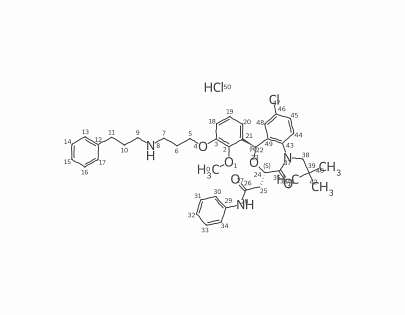 COc1c(OCCCNCCCc2ccccc2)cccc1[C@@H]1O[C@@H](CC(=O)Nc2ccccc2)C(=O)N(CC(C)(C)C)c2ccc(Cl)cc21.Cl